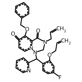 C=CCOc1cc(F)ccc1C(c1ccccn1)N1CN(CC=C)C(=O)c2c(OCc3ccccc3)c(=O)ccn21